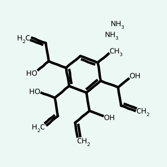 C=CC(O)c1cc(C)c(C(O)C=C)c(C(O)C=C)c1C(O)C=C.N.N